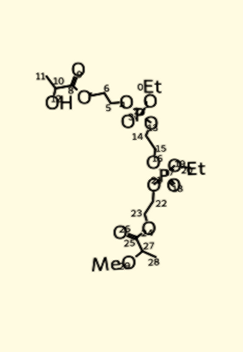 CCOP(=O)(OCCOC(=O)C(C)O)OCCOP(=O)(OCC)OCCOC(=O)C(C)OC